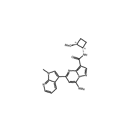 CNc1cc(-c2cn(C)c3ncccc23)nc2c(C(=O)N[C@H]3CC[C@@H]3OC)cnn12